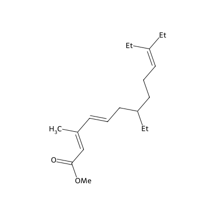 CCC(=CCCC(CC)CC=CC(C)=CC(=O)OC)CC